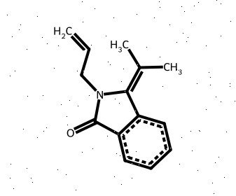 C=CCN1C(=O)c2ccccc2C1=C(C)C